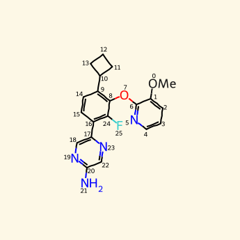 COc1cccnc1Oc1c(C2CCC2)ccc(-c2cnc(N)cn2)c1F